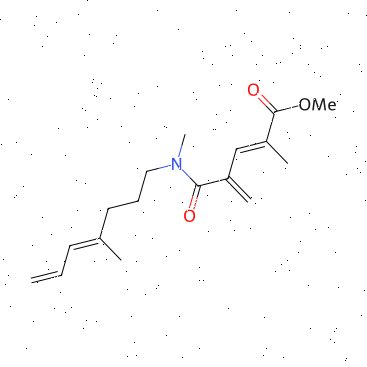 C=C/C=C(\C)CCCN(C)C(=O)C(=C)/C=C(\C)C(=O)OC